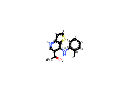 CCCC(=O)c1cnc2ccsc2c1Nc1ccccc1C